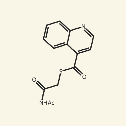 CC(=O)NC(=O)CSC(=O)c1ccnc2ccccc12